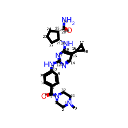 CN1CCN(C(=O)c2ccc(Nc3ncc(C4CC4)c(N[C@@H]4CCC[C@@H]4C(N)=O)n3)cc2)CC1